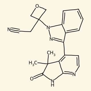 CC1(C)C(=O)Nc2nccc(-c3nn(C4(CC#N)COC4)c4ccccc34)c21